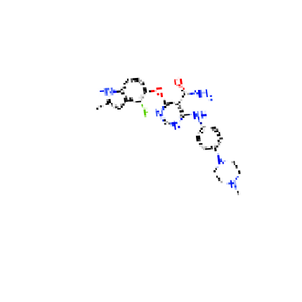 Cc1cc2c(F)c(Oc3ncnc(Nc4ccc(N5CCN(C)CC5)cc4)c3C(N)=O)ccc2[nH]1